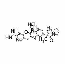 Cl.Cn1c(=O)c(Cc2ccc(C(=N)N)nc2)nc2cc(C(C)(C)C(=O)N3CCCC3)ccc21